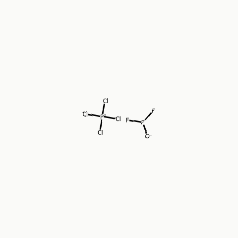 Cl[P+](Cl)(Cl)Cl.[O-]P(F)F